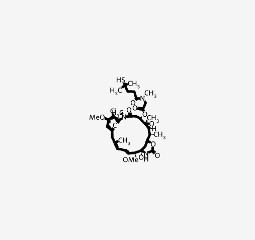 COc1cc2cc(c1Cl)N(C)C(=O)C[C@H](OC(=O)CN(C)C(=O)CCC(C)(C)S)[C@]1(C)O[C@H]1[C@H](C)C1C[C@@](O)(NC(=O)O1)[C@H](OC)/C=C/C=C(\C)C2